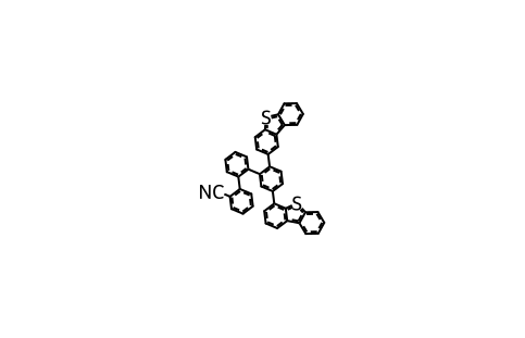 N#Cc1ccccc1-c1ccccc1-c1cc(-c2cccc3c2sc2ccccc23)ccc1-c1ccc2sc3ccccc3c2c1